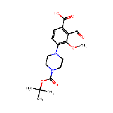 COc1c(N2CCN(C(=O)OC(C)(C)C)CC2)ccc(C(=O)O)c1C=O